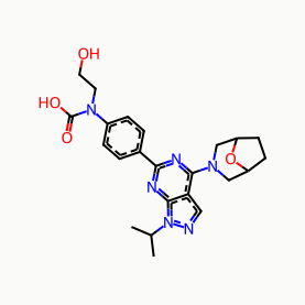 CC(C)n1ncc2c(N3CC4CCC(C3)O4)nc(-c3ccc(N(CCO)C(=O)O)cc3)nc21